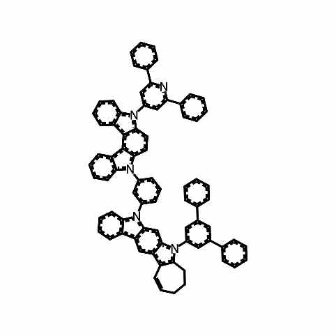 C1=Cc2c(n(-c3cc(-c4ccccc4)cc(-c4ccccc4)c3)c3cc4c(cc23)c2ccccc2n4-c2cccc(-n3c4ccccc4c4c5c6ccccc6n(-c6cc(-c7ccccc7)nc(-c7ccccc7)c6)c5ccc43)c2)CCC1